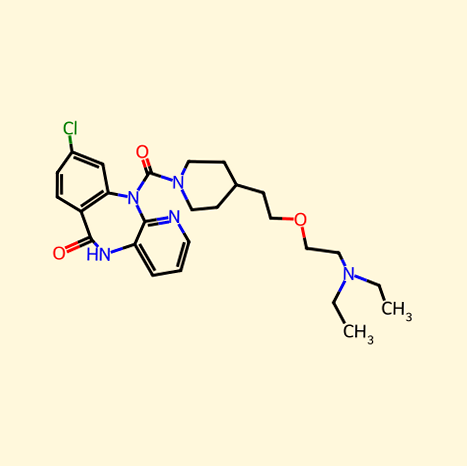 CCN(CC)CCOCCC1CCN(C(=O)N2c3cc(Cl)ccc3C(=O)Nc3cccnc32)CC1